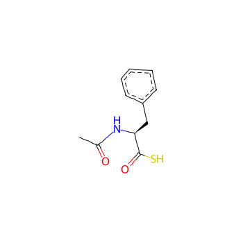 CC(=O)N[C@@H](Cc1ccccc1)C(=O)S